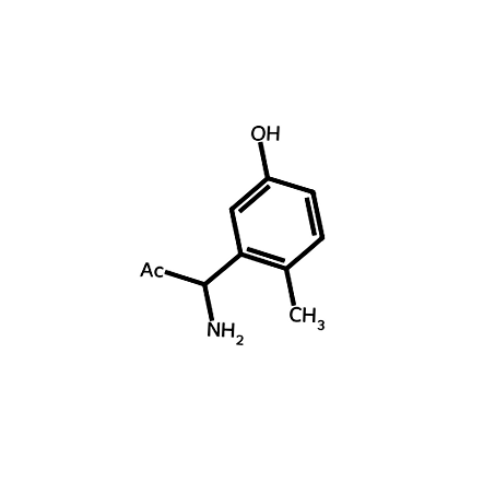 CC(=O)C(N)c1cc(O)ccc1C